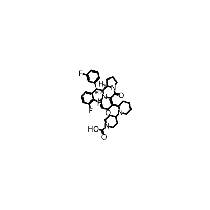 O=C(O)N1CCC(N2CCCCC2c2c3n(ncc2=O)[C@@H]([C@H](c2cccc(F)c2)c2cccc(F)c2F)[C@H]2CCCN2C3=O)CC1